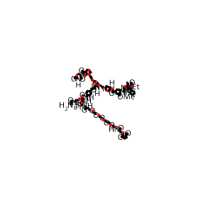 CC[C@@H]1C(=O)N(C)c2cnc(Nc3ccc(C(=O)NC4CCN(CCC(COCCC#Cc5cccc6c5CN(C5CCC(=O)NC5=O)C6=O)NC(=O)OCc5ccc(NC(=O)[C@H](CCCNC(N)=O)NC(=O)[C@@H](NC(=O)CCOCCOCCOCCOCCOCCNC(=O)CCN6C(=O)C=CC6=O)C(C)C)cc5)CC4)cc3OC)nc2N1C1CCCC1